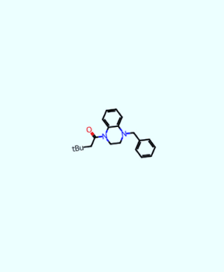 CC(C)(C)CC(=O)N1CCN(Cc2ccccc2)c2ccccc21